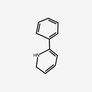 C1=CCNC(c2ccccc2)=C1